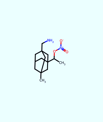 CC(O[N+](=O)[O-])C12CC3CC(C)(CC(CN)(C3)C1)C2